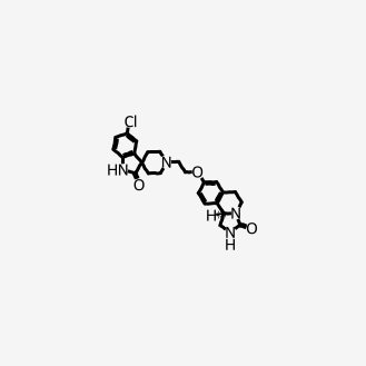 O=C1NC[C@@H]2c3ccc(OCCN4CCC5(CC4)C(=O)Nc4ccc(Cl)cc45)cc3CCN12